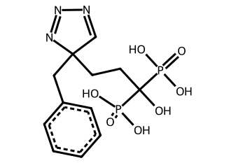 O=P(O)(O)C(O)(CCC1(Cc2ccccc2)C=NN=N1)P(=O)(O)O